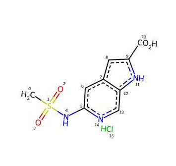 CS(=O)(=O)Nc1cc2cc(C(=O)O)[nH]c2cn1.Cl